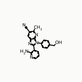 Cc1nc2c(cc1C#N)nc(-c1cccnc1N)n2-c1ccc(CO)cc1